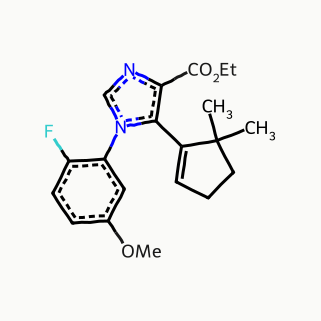 CCOC(=O)c1ncn(-c2cc(OC)ccc2F)c1C1=CCCC1(C)C